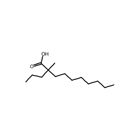 CCCCCCCCC(C)(CCC)C(=O)O